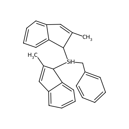 CC1=Cc2ccccc2C1[SiH](Cc1ccccc1)C1C(C)=Cc2ccccc21